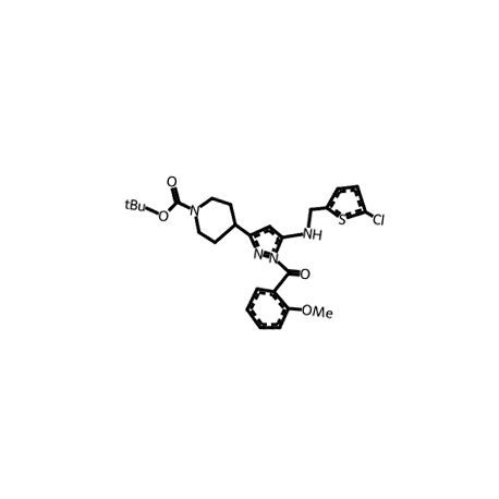 COc1ccccc1C(=O)n1nc(C2CCN(C(=O)OC(C)(C)C)CC2)cc1NCc1ccc(Cl)s1